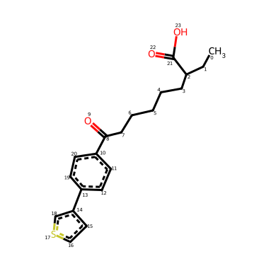 CCC(CCCCCC(=O)c1ccc(-c2ccsc2)cc1)C(=O)O